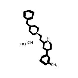 Cc1cccc(C2CCNC(CCN3CCC(Cc4ccccc4)CC3)C2)c1.Cl.Cl